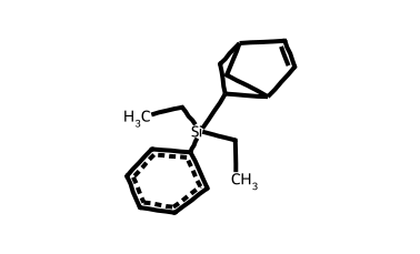 CC[Si](CC)(c1ccccc1)C1CC2C=CC1C2